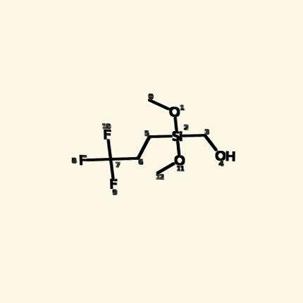 CO[Si](CO)(CCC(F)(F)F)OC